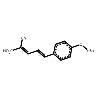 CCCCOc1ccc(/C=C/C=C(\C#N)C(=O)O)cc1